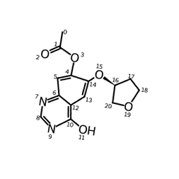 CC(=O)Oc1cc2ncnc(O)c2cc1O[C@H]1CCOC1